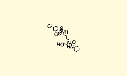 O=C(NC1CCCCC1)N(CCO)CCCCNS(=O)(=O)c1ccc(Cl)cc1Cl